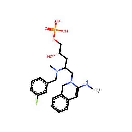 CN(Cc1cccc(F)c1)[C@@H](C[C@H](O)COP(=O)(O)O)CN1Cc2ccccc2C=C1NC(=O)O